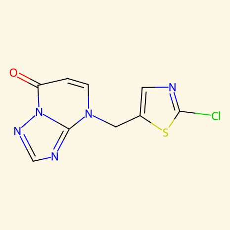 O=c1ccn(Cc2cnc(Cl)s2)c2ncnn12